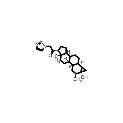 C[C@H]1C[C@@H]2[C@H]3CC[C@]4(C)[C@@H](C(=O)Cn5ccnn5)CC[C@H]4[C@@H]3CC[C@H]2C2C[C@]21O